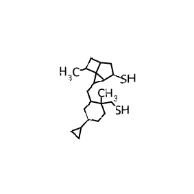 CC1CC2CC(S)C3C(CC4CC(C5CC5)CCC4(C)CS)C123